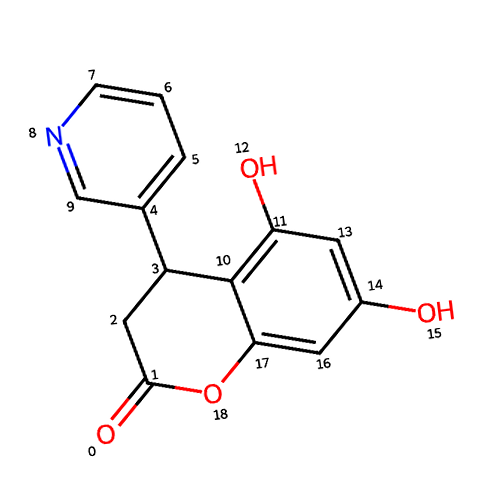 O=C1CC(c2cccnc2)c2c(O)cc(O)cc2O1